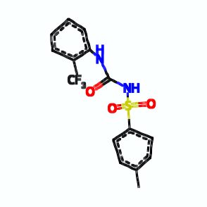 Cc1ccc(S(=O)(=O)NC(=O)Nc2ccccc2C(F)(F)F)cc1